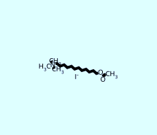 CC(=O)OCCCCCCCCCCCC[N+](C)(C)C.[I-]